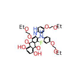 CCOCCOc1ccc(Nc2c(F)c3c(c(OCCOCC)c2Nc2ccc(OCCOCC)cc2)C(=O)c2c(O)ccc(O)c2C3=O)cc1